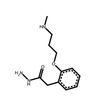 CNCCCOc1ccccc1CC(=O)NN